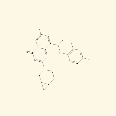 Cc1c(N2CCC3CC3C2)nc2c([C@@H](C)Nc3ccc(Cl)nc3C(=O)O)cc(Cl)cn2c1=O